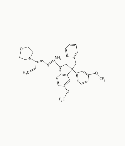 C=C/C(=C\N=C(/N)NCC(Cc1ccccc1)(c1cccc(OC(F)(F)F)c1)c1cccc(OC(F)(F)F)c1)N1CCOCC1